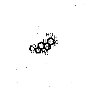 C[C@]12C[C@@H](O)[C@H]3O[C@H]3C1=CC(=O)[C@@H]1[C@@H]2CC[C@@]2(C)[C@H]1CCC21OCCO1